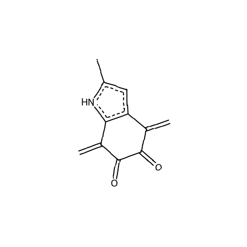 C=C1C(=O)C(=O)C(=C)c2[nH]c(C)cc21